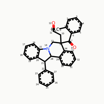 [CH2]c1ccccc1C(=O)C1(CC=O)CN2c3ccccc3C(c3ccccc3)C2c2ccccc21